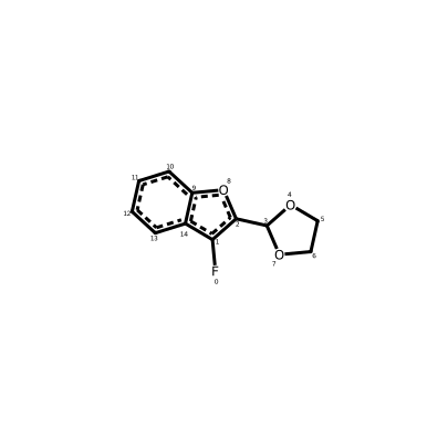 Fc1c(C2OCCO2)oc2ccccc12